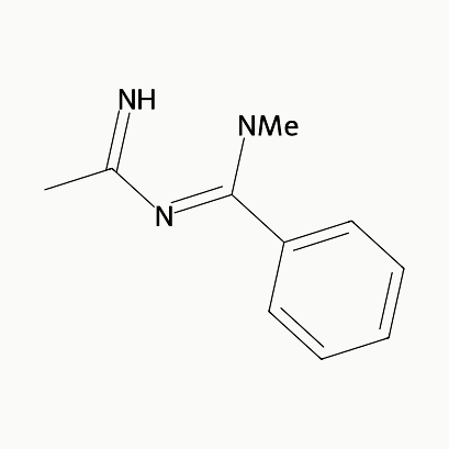 CN/C(=N\C(C)=N)c1ccccc1